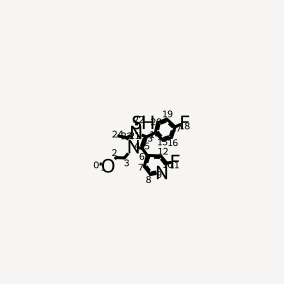 COCCN1C(c2ccnc(F)c2)=C(c2ccc(F)cc2)N(S)C1C